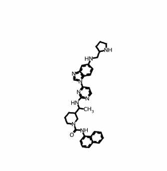 CC(Nc1nccc(-n2cnc3cc(NCC4CCCN4)ccc32)n1)C1CCCN(C(=O)Nc2cccc3ccccc23)C1